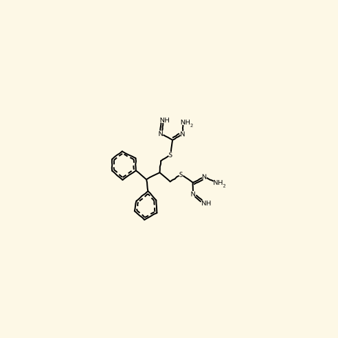 N=NC(=NN)SCC(CSC(N=N)=NN)C(c1ccccc1)c1ccccc1